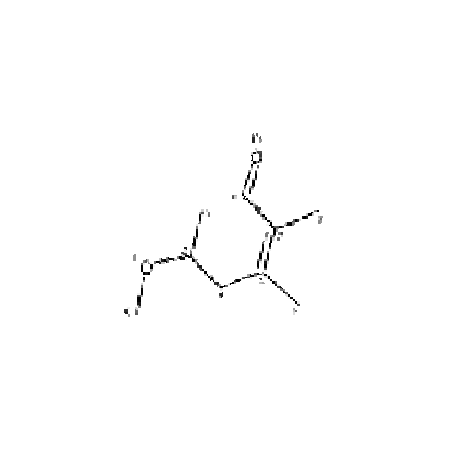 COC(C)CC(C)=C(C)C=O